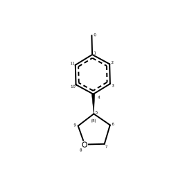 Cc1ccc([C@H]2CCOC2)cc1